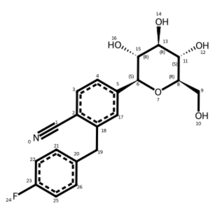 N#Cc1ccc([C@@H]2O[C@H](CO)[C@@H](O)[C@H](O)[C@H]2O)cc1Cc1ccc(F)cc1